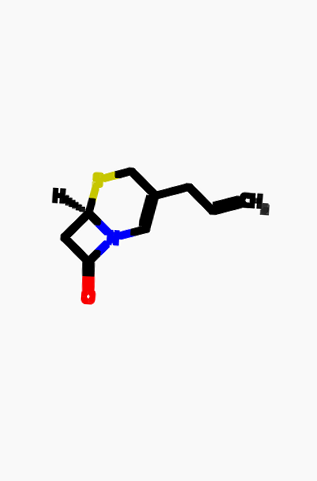 C=CCC1=CN2C(=O)C[C@H]2SC1